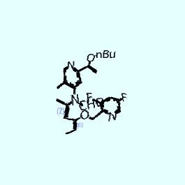 C=C(OCCCC)c1cc(N(C=O)/C(C)=C\C(=C/C)OCc2ncc(F)cc2F)c(C)cn1